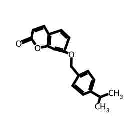 CC(C)c1ccc(COc2ccc3ccc(=O)oc3c2)cc1